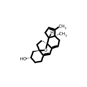 CC1=CC[C@@H]2[C@]1(C)CC=C1C=C3CC[C@H](O)C[C@]34CC[C@@]12O4